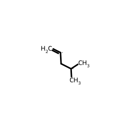 C=[C]C[C](C)C